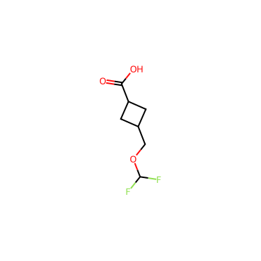 O=C(O)C1CC(COC(F)F)C1